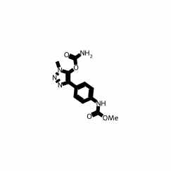 COC(=O)Nc1ccc(-c2nnn(C)c2OC(N)=O)cc1